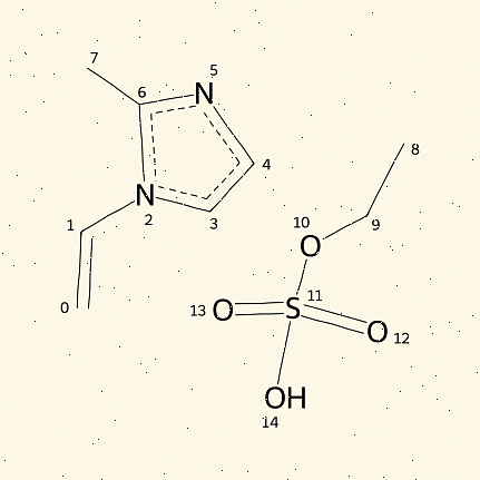 C=Cn1ccnc1C.CCOS(=O)(=O)O